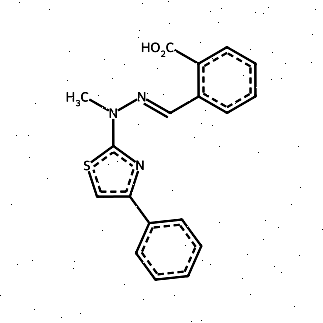 CN(N=Cc1ccccc1C(=O)O)c1nc(-c2ccccc2)cs1